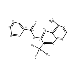 Nc1cccc2cc(C(F)(F)F)c(CC(=O)c3ccccc3)nc12